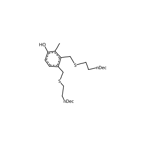 CCCCCCCCCCCCSCc1ccc(O)c(C)c1CSCCCCCCCCCCCC